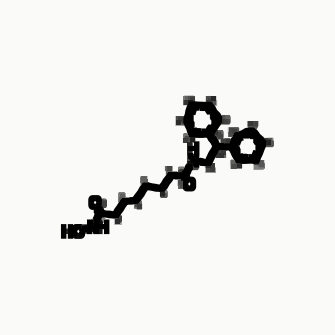 O=C(CCCCCCC(=O)NCC(c1ccccc1)c1ccccc1)NO